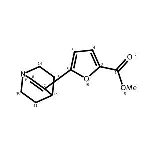 COC(=O)c1ccc(C2=CN3CCC2CC3)o1